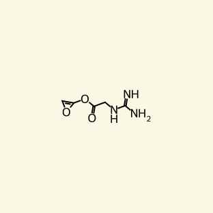 N=C(N)NCC(=O)OC1=CO1